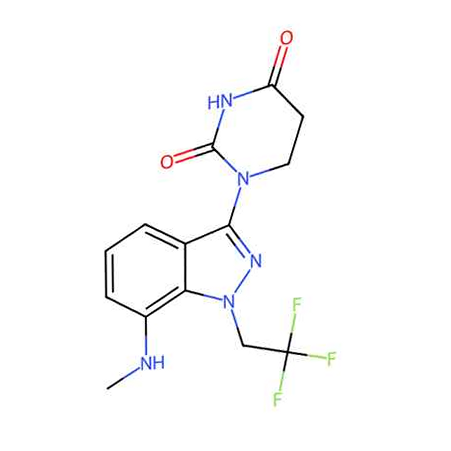 CNc1cccc2c(N3CCC(=O)NC3=O)nn(CC(F)(F)F)c12